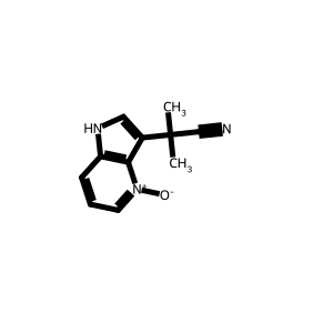 CC(C)(C#N)c1c[nH]c2ccc[n+]([O-])c12